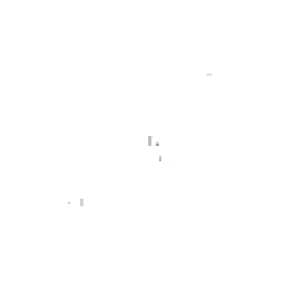 [O-][N+](=Cc1ccc(Cl)cc1)c1ccc(F)cc1